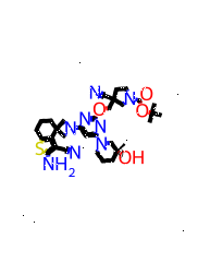 CC(C)(C)OC(=O)N1CCC(C#N)(COc2nc(N3CC4(CCCc5sc(N)c(C#N)c54)C3)cc(N3CCC[C@@](C)(O)C3)n2)C1